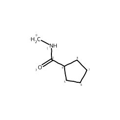 [CH2]NC(=O)C1CCCC1